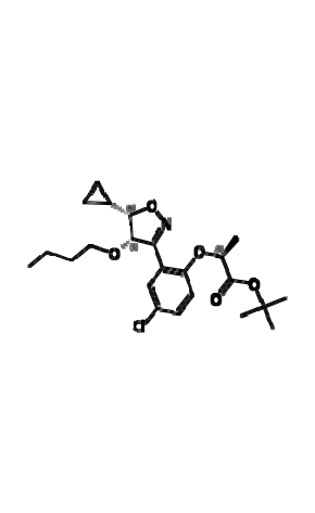 CCCCO[C@H]1C(c2cc(Cl)ccc2O[C@@H](C)C(=O)OC(C)(C)C)=NO[C@H]1C1CC1